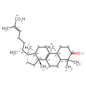 C/C(=C\CC[C@@H](C)[C@H]1CC[C@@]2(C)C3=C(CC[C@]12C)[C@@]1(C)CCC(=O)C(C)(C)C1CC3)C(=O)O